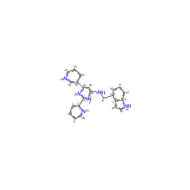 c1ccc(-c2nc(NCc3cccc4[nH]ccc34)cc(-c3cccnc3)n2)nc1